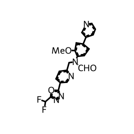 COc1cc(-c2cccnc2)ccc1N(C=O)Cc1ccc(-c2nnc(C(F)F)o2)cn1